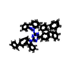 c1ccc(-c2ccc3c(c2)c2ccccc2n3-c2nc(-c3cccc([Si](c4ccccc4)(c4ccccc4)c4ccccc4)c3)nc(-n3c4ccccc4c4ccccc43)n2)cc1